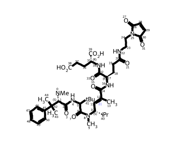 CN[C@H](C(=O)NC(C(=O)N(C)[C@H](/C=C(\C)C(=O)N[C@H](CCC(=O)NCCN1C(=O)C=CC1=O)C(=O)N[C@H](CCC(=O)O)C(=O)O)C(C)C)C(C)(C)C)C(C)(C)c1ccccc1